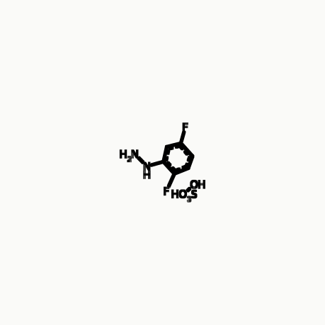 NNc1cc(F)ccc1F.O=S(=O)(O)O